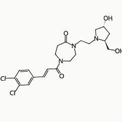 O=C(/C=C/c1ccc(Cl)c(Cl)c1)N1CCC(=O)N(CCN2C[C@H](O)C[C@H]2CO)CC1